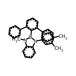 Cc1cnc(N2B(c3c(-c4ccccc4)cccc3-c3ccccc3)N(C)c3ccccc32)cc1C